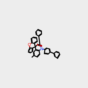 Cc1ccc2c(c1)C1(c3ccccc3Oc3ccccc31)c1cc(-c3ccccc3)ccc1N2c1ccc(-c2ccccc2)cc1